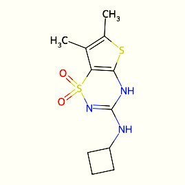 Cc1sc2c(c1C)S(=O)(=O)N=C(NC1CCC1)N2